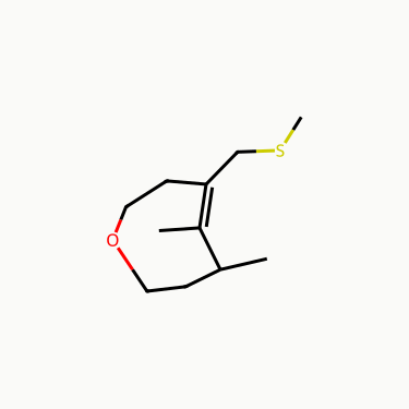 CSC/C1=C(/C)C(C)CCOCC1